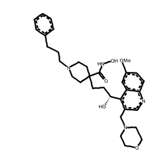 COc1ccc2ncc(CN3CCOCC3)c([C@H](O)CCC3(C(=O)NO)CCN(CCCc4ccccc4)CC3)c2c1